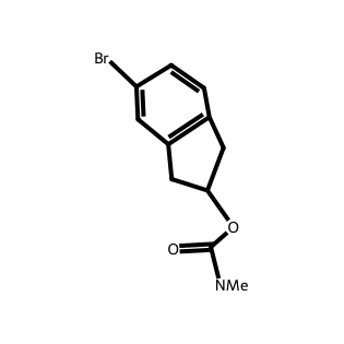 CNC(=O)OC1Cc2ccc(Br)cc2C1